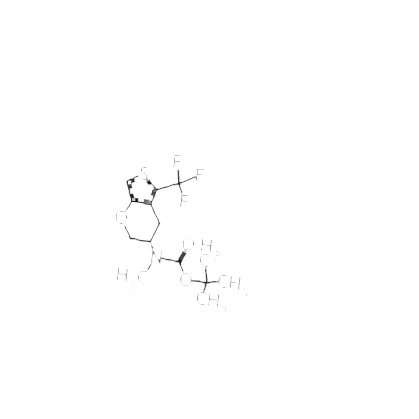 CN(C(=O)OC(C)(C)C)[C@H]1COc2csc(C(F)(F)F)c2C1